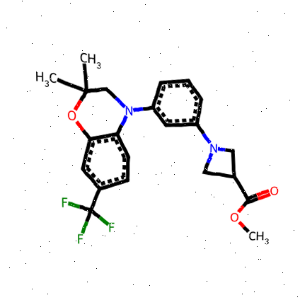 COC(=O)C1CN(c2cccc(N3CC(C)(C)Oc4cc(C(F)(F)F)ccc43)c2)C1